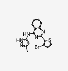 Cc1cc(Nc2nc(-c3sccc3Br)nc3ccccc23)[nH]n1